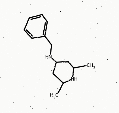 CC1CC(NCc2ccccc2)CC(C)N1